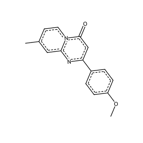 COc1ccc(-c2cc(=O)n3ccc(C)cc3n2)cc1